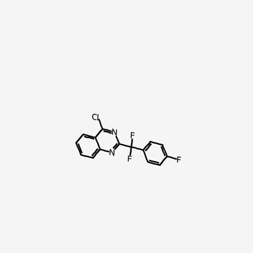 Fc1ccc(C(F)(F)c2nc(Cl)c3ccccc3n2)cc1